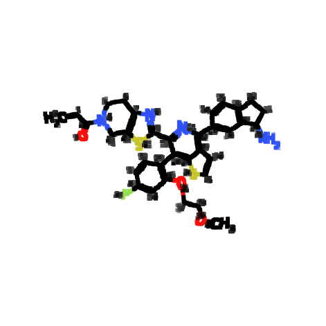 C=CC(=O)N1CCc2nc(-c3nc(-c4ccc5c(c4)C(N)CC5)c4ccsc4c3-c3ccc(F)cc3OCCOC)sc2C1